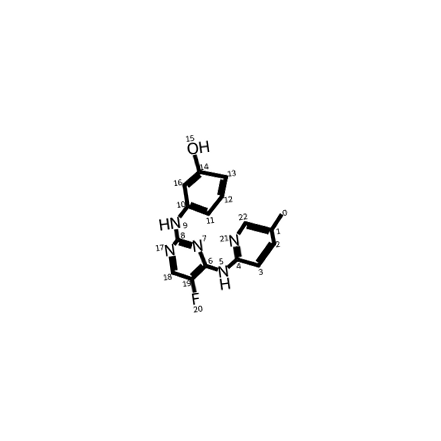 Cc1ccc(Nc2nc(Nc3cccc(O)c3)ncc2F)nc1